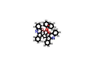 O=C(CC1(CC2(CC(=O)Oc3ccccc3)c3ccccc3-c3nc4ccccc4cc32)c2ccccc2-c2nc3ccccc3cc21)Oc1ccccc1